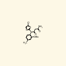 Cc1ccc(N(C(=O)CC(N)=O)c2ncc(Cl)s2)c(OCC(C)C)c1